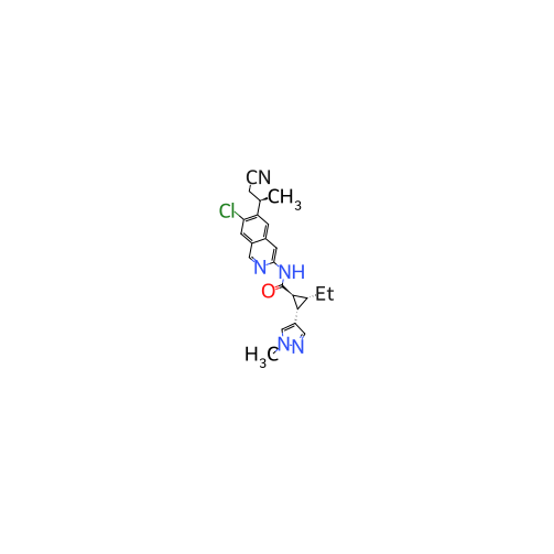 CC[C@H]1[C@H](C(=O)Nc2cc3cc([C@H](C)CC#N)c(Cl)cc3cn2)[C@H]1c1cnn(C)c1